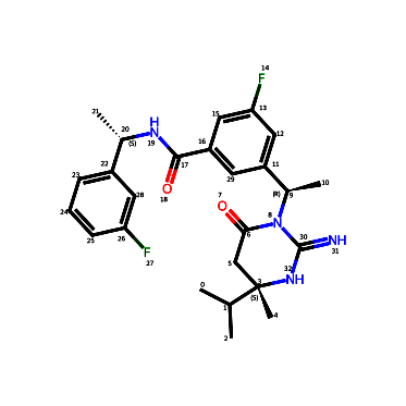 CC(C)[C@]1(C)CC(=O)N([C@H](C)c2cc(F)cc(C(=O)N[C@@H](C)c3cccc(F)c3)c2)C(=N)N1